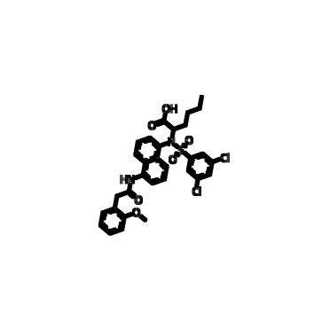 CCCCC(C(=O)O)N(c1cccc2c(NC(=O)Cc3ccccc3OC)cccc12)S(=O)(=O)c1cc(Cl)cc(Cl)c1